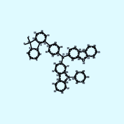 CC1(C)c2ccccc2-c2c(-c3ccc(N(c4ccc5c(c4)oc4ccccc45)c4ccc5c6ccccc6n(-c6ccccc6)c5c4)cc3)cccc21